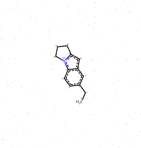 CCc1ccc2c(c1)cc1n2CCC1